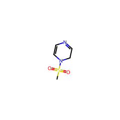 CS(=O)(=O)N1C=CN=CC1